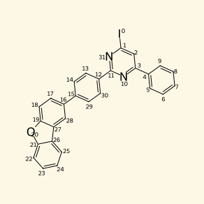 Ic1cc(-c2ccccc2)nc(-c2ccc(-c3ccc4oc5ccccc5c4c3)cc2)n1